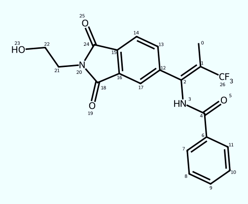 C/C(=C(/NC(=O)c1ccccc1)c1ccc2c(c1)C(=O)N(CCO)C2=O)C(F)(F)F